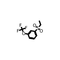 CCS(=O)(=O)c1c[c]cc(OC(F)(F)F)c1